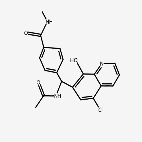 CNC(=O)c1ccc(C(NC(C)=O)c2cc(Cl)c3cccnc3c2O)cc1